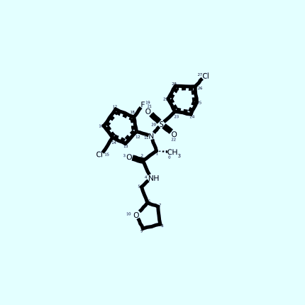 C[C@H](C(=O)NCC1CCCO1)N(c1cc(Cl)ccc1F)S(=O)(=O)c1ccc(Cl)cc1